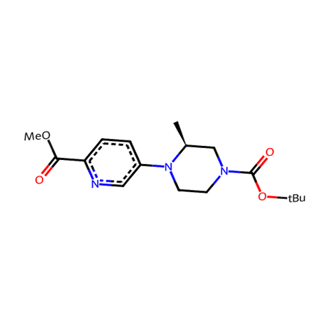 COC(=O)c1ccc(N2CCN(C(=O)OC(C)(C)C)C[C@@H]2C)cn1